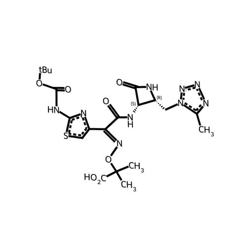 Cc1nnnn1C[C@H]1NC(=O)[C@H]1NC(=O)C(=NOC(C)(C)C(=O)O)c1csc(NC(=O)OC(C)(C)C)n1